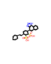 O=S(=O)(O)c1c(C=Cc2ccccc2)ccc(-c2cc3ccccc3c3[nH]nnc23)c1S(=O)(=O)O